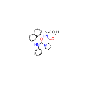 O=C(O)[C@H](Cc1ccc2ccccc2c1)NC(=O)[C@@H]1CCCN1C(=O)Nc1ccccc1